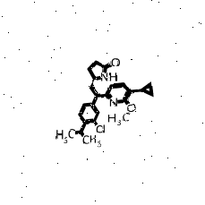 COc1nc(/C(=C\[C@H]2CCC(=O)N2)c2ccc(C(C)C)c(Cl)c2)ccc1C1CC1